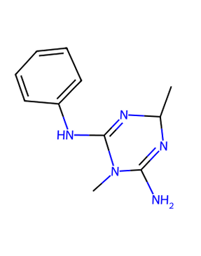 CC1N=C(N)N(C)C(Nc2ccccc2)=N1